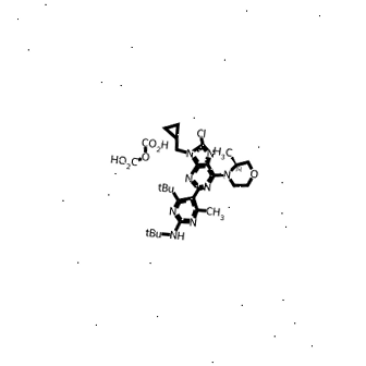 Cc1nc(NC(C)(C)C)nc(C(C)(C)C)c1-c1nc(N2CCOC[C@@H]2C)c2nc(Cl)n(CC3CC3)c2n1.O=C(O)OC(=O)O